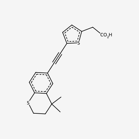 CC1(C)CCSc2ccc(C#Cc3ccc(CC(=O)O)s3)cc21